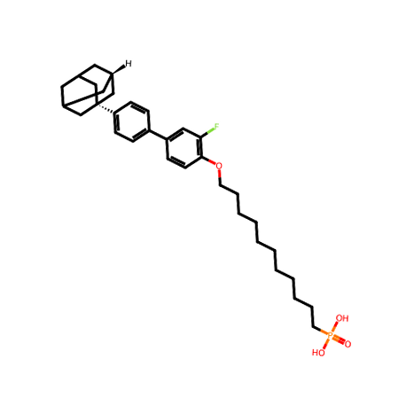 O=P(O)(O)CCCCCCCCCCCOc1ccc(-c2ccc([C@]34CC5CC(C[C@H](C5)C3)C4)cc2)cc1F